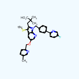 Cc1ccc(COc2cnc3c(c2)c(SC(C)(C)C)c(CC(C)(C)C(=O)O)n3Cc2ccc(-c3ccc(F)cn3)cc2)nc1